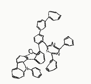 c1ccc(-c2cccc(-c3ccc(-c4cccc5c4oc4ccc6c7ccccc7n(-c7ccccc7)c6c45)c(-c4nc(-c5ccccc5)nc(-c5ccccc5)n4)c3)c2)cc1